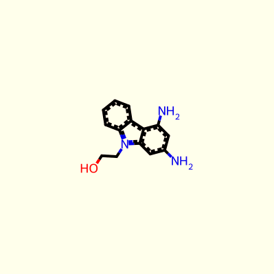 Nc1cc(N)c2c3ccccc3n(CCO)c2c1